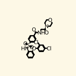 O=C(NCC(=O)N1CCOCC1)c1ccc(S(=O)(=O)Nc2ccccc2Oc2ccc(Cl)cc2Cl)cc1